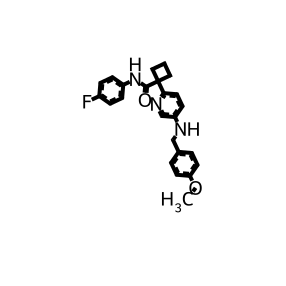 COc1ccc(CNc2ccc(C3(C(=O)Nc4ccc(F)cc4)CCC3)nc2)cc1